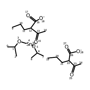 CC(C)[O][Sn+2][O]C(C)C.CCCC(C(C)=O)C(=O)[O-].CCCC(C(C)=O)C(=O)[O-]